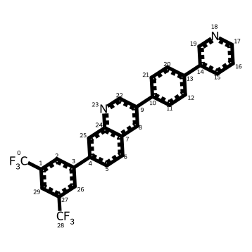 FC(F)(F)c1cc(-c2ccc3cc(-c4ccc(-c5cccnc5)cc4)cnc3c2)cc(C(F)(F)F)c1